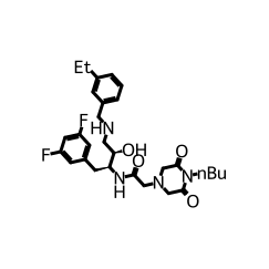 CCCCN1C(=O)CN(CC(=O)N[C@@H](Cc2cc(F)cc(F)c2)[C@H](O)CNCc2cccc(CC)c2)CC1=O